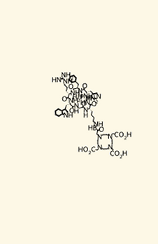 N=C(N)NCCC[C@H](NC(=O)[C@@H](Cc1ccccc1)NC(=O)[C@H](Cc1cnc[nH]1)NP)C(=O)N[C@@H](Cc1c[nH]c2ccccc12)C(=O)NCC(=O)N[C@@H](CCCCNBC(=O)CN1CCN(CC(=O)O)CCN(CC(=O)O)CCN(CC(=O)O)CC1)C(=O)NP